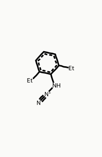 CCc1cccc(CC)c1N[N+]#N